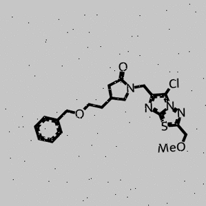 COCc1nn2c(Cl)c(CN3CC(CCOCc4ccccc4)CC3=O)nc2s1